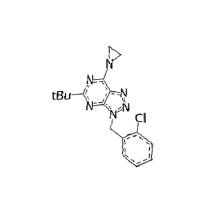 CC(C)(C)c1nc(N2CC2)c2nnn(Cc3ccccc3Cl)c2n1